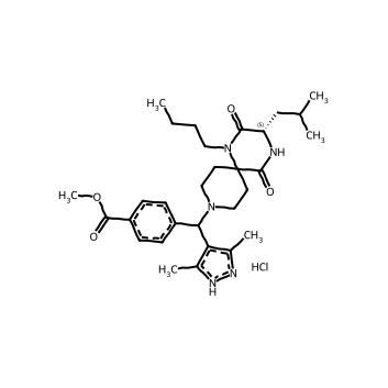 CCCCN1C(=O)[C@H](CC(C)C)NC(=O)C12CCN(C(c1ccc(C(=O)OC)cc1)c1c(C)n[nH]c1C)CC2.Cl